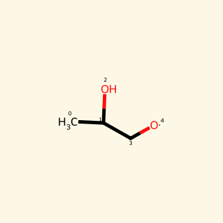 CC(O)C[O]